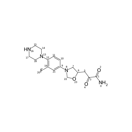 NC(=O)C(=O)CC1CN(c2ccc(N3CCNCC3)c(F)c2)CO1